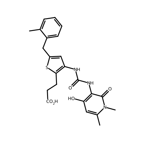 Cc1ccccc1Cc1cc(NC(=O)Nc2c(O)cc(C)n(C)c2=O)c(CCC(=O)O)s1